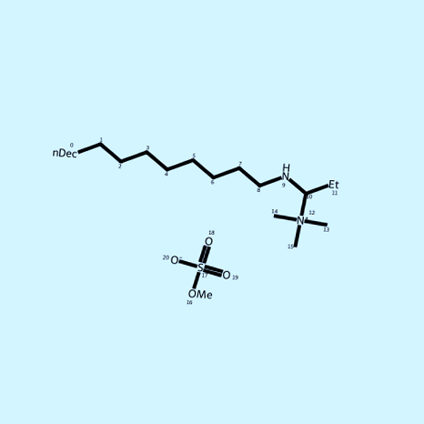 CCCCCCCCCCCCCCCCCCNC(CC)[N+](C)(C)C.COS(=O)(=O)[O-]